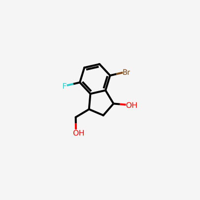 OCC1CC(O)c2c(Br)ccc(F)c21